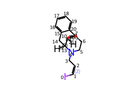 I/C=C\CN1CC[C@]23CCCC[C@H]2[C@H]1Cc1ccccc13